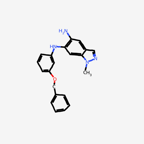 Cn1ncc2cc(N)c(Nc3cccc(OCc4ccccc4)c3)cc21